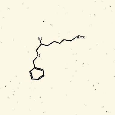 CCCCCCCCCCCCCCCC(CC)COCc1ccccc1